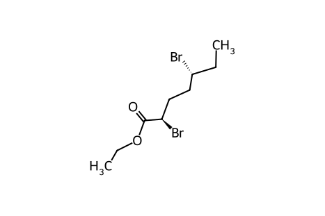 CCOC(=O)[C@H](Br)CC[C@H](Br)CC